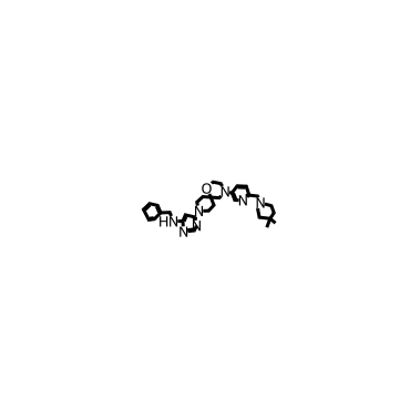 CC1(C)CCN(Cc2ccc(N3CCOC4(CCN(c5cc(NCc6ccccc6)ncn5)CC4)C3)cn2)CC1